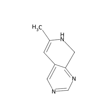 CC1=Cc2cncnc2CN1